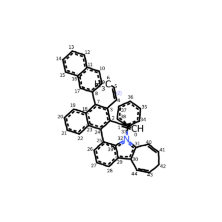 C#Cc1c(/C=C\C)c(-c2ccc3ccccc3c2)c2ccccc2c1-c1cccc2c3c(n(-c4ccccc4)c12)C=CCC=C3